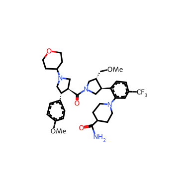 COC[C@H]1CN(C(=O)[C@@H]2CN(C3CCOCC3)C[C@H]2c2ccc(OC)cc2)C[C@@H]1c1ccc(C(F)(F)F)cc1N1CCC(C(N)=O)CC1